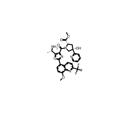 COC(=O)[C@@H]1C[C@@](O)(c2ccccn2)CN1C(=O)c1nc(-c2ccc(OC)c3nc(C(F)(F)F)ccc23)oc1[C@H](C)N